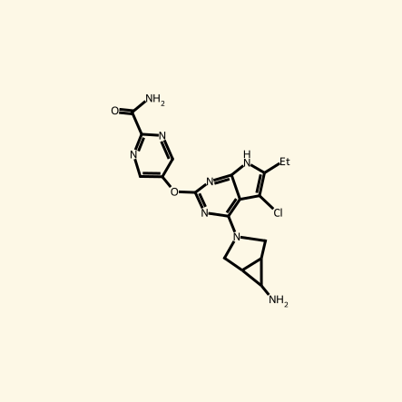 CCc1[nH]c2nc(Oc3cnc(C(N)=O)nc3)nc(N3CC4C(N)C4C3)c2c1Cl